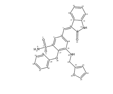 NS(=O)(=O)c1cc(C=C2C(=O)Nc3ccccc32)cc(NCc2ccco2)c1Oc1ccccc1